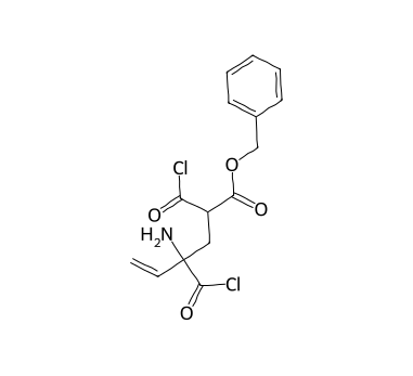 C=CC(N)(CC(C(=O)Cl)C(=O)OCc1ccccc1)C(=O)Cl